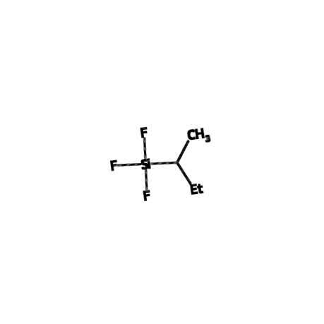 CCC(C)[Si](F)(F)F